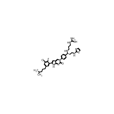 CC(C)CCCc1cc(Cl)c(F)c(-c2cc3cn(-c4ccc([C@H](CCNc5nccs5)NCCCNC(=N)N)cc4)c(=O)nc3[nH]2)c1